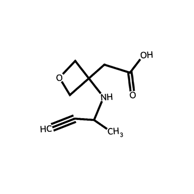 C#CC(C)NC1(CC(=O)O)COC1